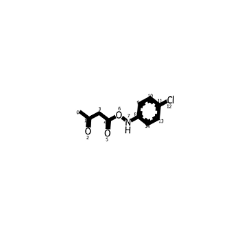 CC(=O)CC(=O)ONc1ccc(Cl)cc1